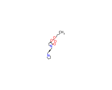 CCCCOC(=O)O[C@@H]1CCN(CC#CCN2CCCC2)C1=O